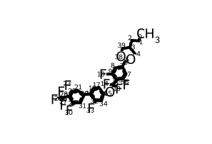 CCCC1COC(c2cc(F)c(C(F)(F)Oc3ccc(-c4cc(F)c(C(F)(F)F)c(F)c4)c(F)c3)c(F)c2)OC1